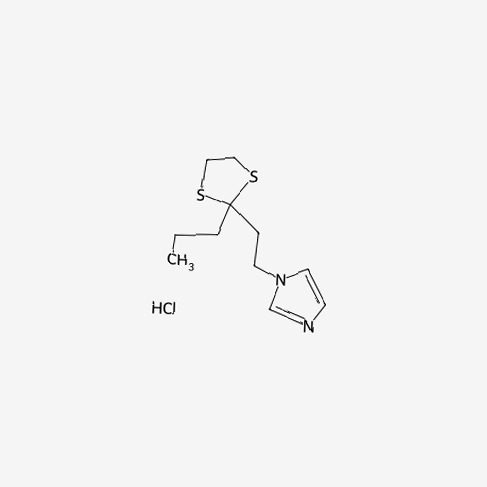 CCCC1(CCn2ccnc2)SCCS1.Cl